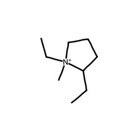 CCC1CCC[N+]1(C)CC